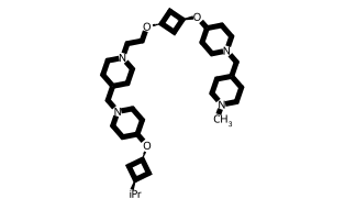 CC(C)[C@H]1C[C@H](OC2CCN(CC3CCN(CCO[C@H]4C[C@H](OC5CCN(CC6CCN(C)CC6)CC5)C4)CC3)CC2)C1